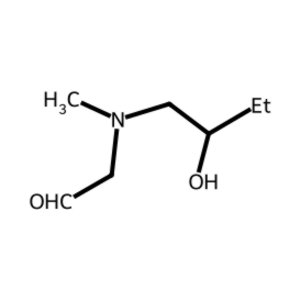 CCC(O)CN(C)CC=O